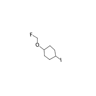 FCOC1CCC(I)CC1